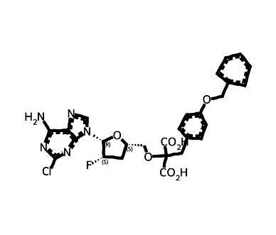 Nc1nc(Cl)nc2c1ncn2[C@@H]1O[C@H](COC(Cc2ccc(OCc3ccccc3)cc2)(C(=O)O)C(=O)O)C[C@@H]1F